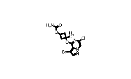 CC1(Oc2nc(Cl)cn3ncc(Br)c23)CC(OC(N)=O)C1